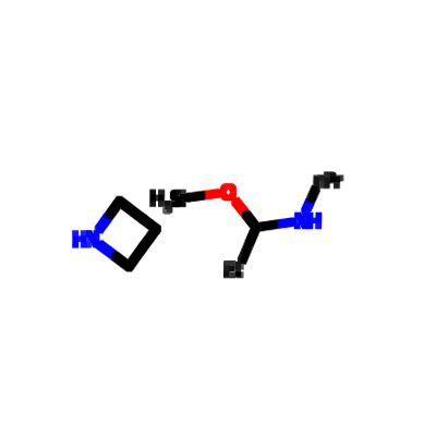 C1CNC1.CCCNC(CC)O[SiH3]